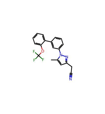 Cc1cc(CC#N)nn1-c1cccc(-c2ccccc2OC(F)(F)F)c1